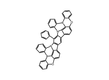 c1ccc(-c2c3c(cc4c5ccc6c7c5n(c24)-c2ccccc2B7c2ccccc2O6)c2ccc4c5c2n3-c2ccccc2B5c2ccccc2O4)cc1